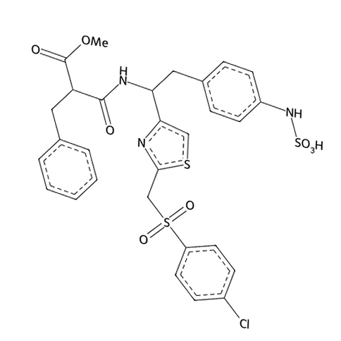 COC(=O)C(Cc1ccccc1)C(=O)NC(Cc1ccc(NS(=O)(=O)O)cc1)c1csc(CS(=O)(=O)c2ccc(Cl)cc2)n1